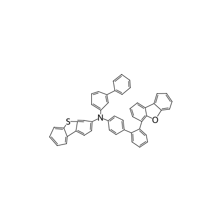 c1ccc(-c2cccc(N(c3ccc(-c4ccccc4-c4cccc5c4oc4ccccc45)cc3)c3ccc4c(c3)sc3ccccc34)c2)cc1